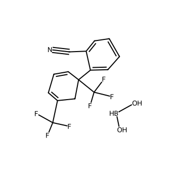 N#Cc1ccccc1C1(C(F)(F)F)C=CC=C(C(F)(F)F)C1.OBO